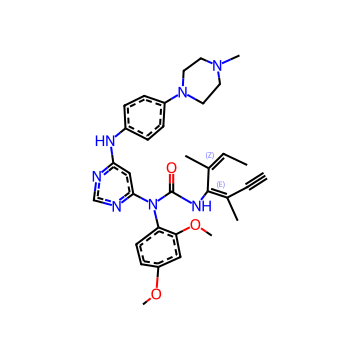 C#C/C(C)=C(NC(=O)N(c1cc(Nc2ccc(N3CCN(C)CC3)cc2)ncn1)c1ccc(OC)cc1OC)\C(C)=C/C